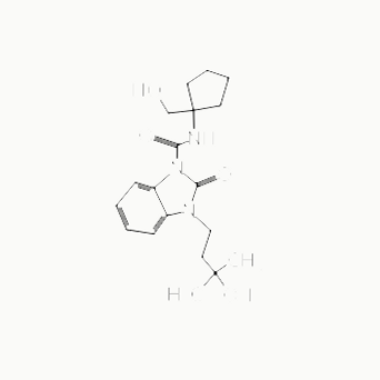 CC(C)(O)CCn1c(=O)n(C(=O)NC2(CO)CCCC2)c2ccccc21